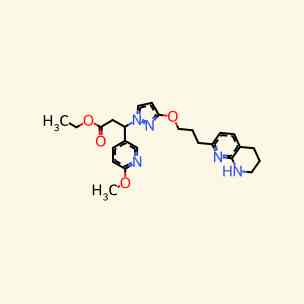 CCOC(=O)CC(c1ccc(OC)nc1)n1ccc(OCCCc2ccc3c(n2)NCCC3)n1